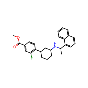 COC(=O)c1ccc(C2CCCC(N[C@H](C)c3cccc4ccccc34)C2)c(F)c1